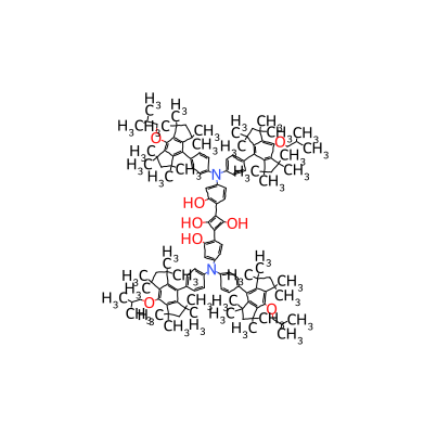 CC(C)COc1c2c(c(-c3ccc(N(c4ccc(-c5c6c(c(OCC(C)C)c7c5C(C)(C)CC7(C)C)C(C)(C)CC6(C)C)cc4)c4ccc(C5=C(O)C(c6ccc(N(c7ccc(-c8c9c(c(OCC(C)C)c%10c8C(C)(C)CC%10(C)C)C(C)(C)CC9(C)C)cc7)c7ccc(-c8c9c(c(OCC(C)C)c%10c8C(C)(C)CC%10(C)C)C(C)(C)CC9(C)C)cc7)cc6O)=C5O)c(O)c4)cc3)c3c1C(C)(C)CC3(C)C)C(C)(C)CC2(C)C